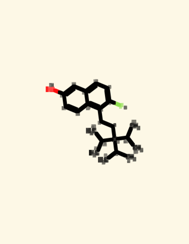 CC(C)[Si](CCc1c(F)ccc2cc(O)ccc12)(C(C)C)C(C)C